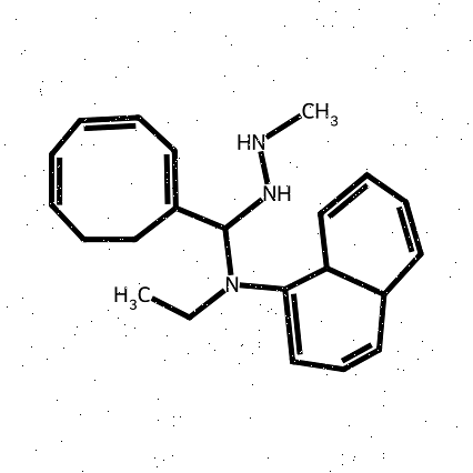 CCN(C1=CC=CC2C=CC=CC12)C(NNC)/C1=C/C=C\C=C/CC1